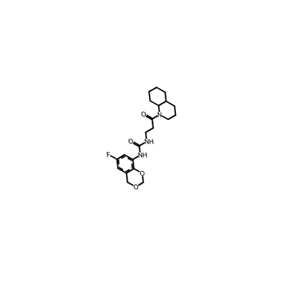 O=C(NCCC(=O)N1CCCC2CCCCC21)Nc1cc(F)cc2c1OCOC2